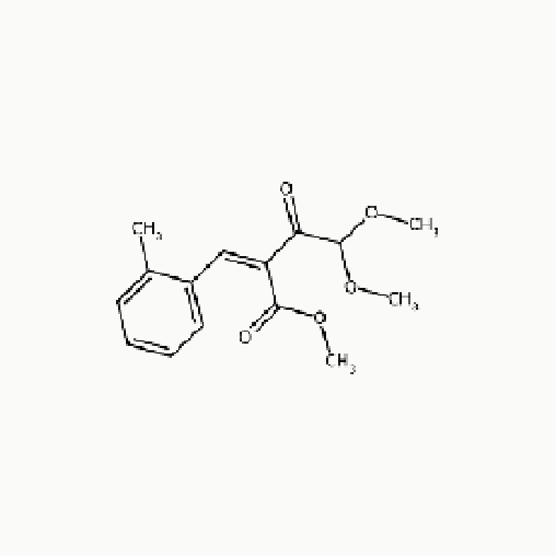 COC(=O)C(=Cc1ccccc1C)C(=O)C(OC)OC